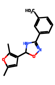 Cc1cc(C2NC(c3cccc(C(=O)O)c3)=NO2)c(C)o1